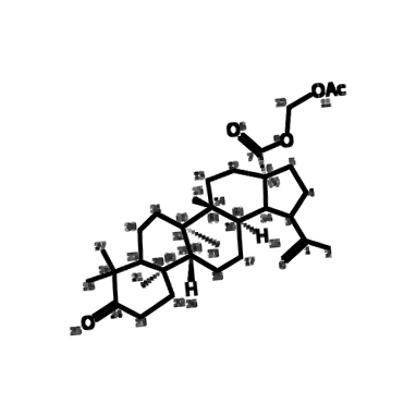 C=C(C)C1CC[C@]2(C(=O)OCOC(C)=O)CC[C@]3(C)[C@H](CC[C@@H]4[C@@]5(C)CCC(=O)C(C)(C)C5CC[C@]43C)C12